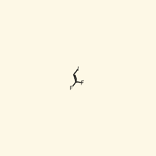 FC(F)=CI